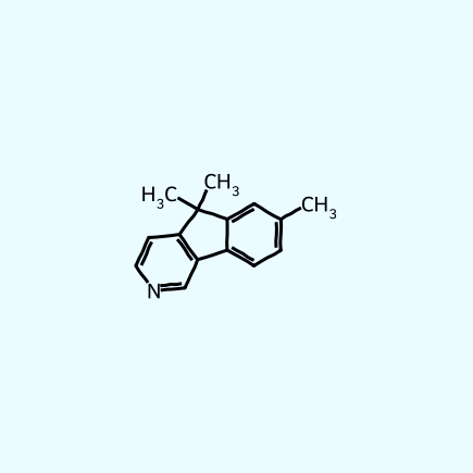 Cc1ccc2c(c1)C(C)(C)c1ccncc1-2